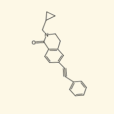 O=C1c2ccc(C#Cc3ccccc3)cc2CCN1CC1CC1